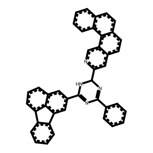 c1ccc(C2=NC(c3cc4ccc5ccc6ccccc6c5c4cn3)NC(c3cc4c5c(cccc5c3)-c3ccccc3-4)=N2)cc1